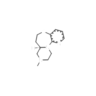 CN1CCN2c3ncccc3SCC[C@H]2C1